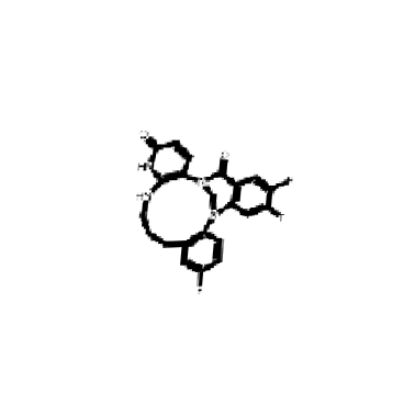 O=C1c2cc(F)c(F)cc2N2CN1c1ccc(=O)[nH]c1NCCCc1cc(F)ccc12